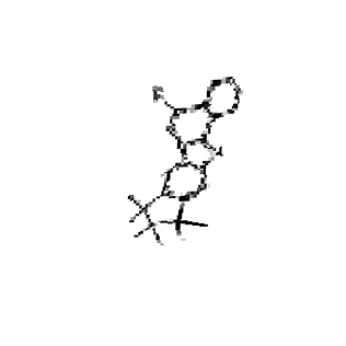 CC1(C)c2cc3nc4c5ccccc5c(F)cn4c3cc2C(C)(C)C1(C)C